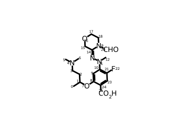 CC(CCN(C)C)Oc1cc(N(C)/N=C2/COCCN2C=O)c(F)cc1C(=O)O